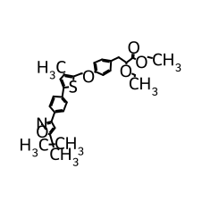 CCOC(=O)C(Cc1ccc(OCc2sc(-c3ccc(-c4cc(C(C)(C)C)on4)cc3)cc2C)cc1)OCC